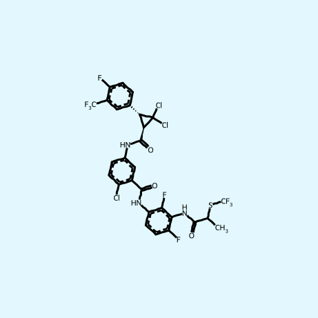 CC(SC(F)(F)F)C(=O)Nc1c(F)ccc(NC(=O)c2cc(NC(=O)[C@H]3[C@H](c4ccc(F)c(C(F)(F)F)c4)C3(Cl)Cl)ccc2Cl)c1F